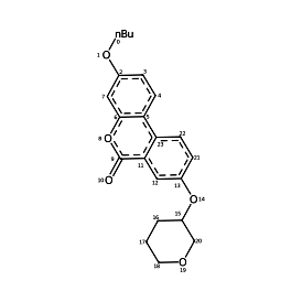 CCCCOc1ccc2c(c1)oc(=O)c1cc(OC3CCCOC3)ccc12